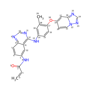 C=CC(=O)Nc1ccc2ncnc(Nc3ccc(Oc4ccn5ncnc5c4)c(C)c3)c2c1